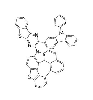 c1ccc(-n2c3ccccc3c3ccc(-c4nc5c(nc4-n4c6ccc7cccc8c7c6c6c7c(ccc64)sc4cccc-8c47)sc4ccccc45)cc32)cc1